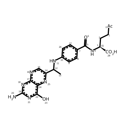 CC(=O)CC[C@H](NC(=O)c1ccc(NC(C)c2cnc3nc(N)nc(O)c3n2)cc1)C(=O)O